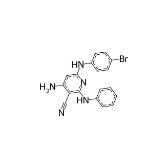 N#Cc1c(N)cc(Nc2ccc(Br)cc2)nc1Nc1ccccc1